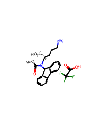 COC(=O)N(C1c2ccccc2-c2ccccc21)[C@@H](CCCN)C(=O)O.O=C(O)C(F)(F)F